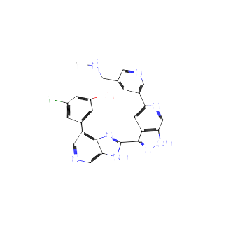 CCNCc1cncc(-c2cc3c(-c4nc5c(-c6cc(O)cc(F)c6)cncc5[nH]4)n[nH]c3cn2)c1